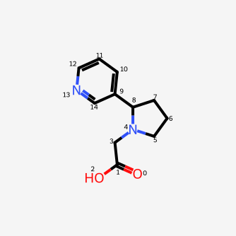 O=C(O)CN1CCCC1c1cccnc1